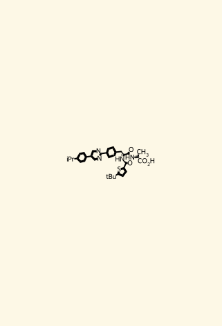 CC(C)c1ccc(-c2cnc(-c3ccc(C[C@H](NC(=O)c4ccc(C(C)(C)C)s4)C(=O)N[C@H](C)C(=O)O)cc3)nc2)cc1